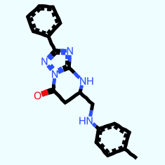 Cc1ccc(NCC2CC(=O)n3nc(-c4ccccc4)nc3N2)cc1